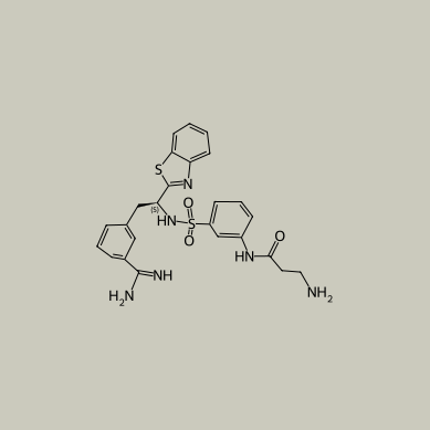 N=C(N)c1cccc(C[C@H](NS(=O)(=O)c2cccc(NC(=O)CCN)c2)c2nc3ccccc3s2)c1